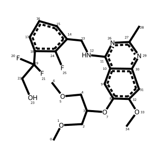 COCC(COC)Oc1cc2c(NCc3cccc(C(F)(F)CO)c3F)nc(C)nc2cc1OC